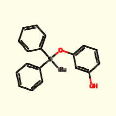 CC(C)(C)[Si](Oc1cccc(O)c1)(c1ccccc1)c1ccccc1